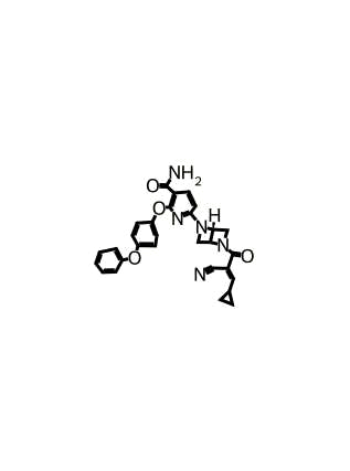 N#C/C(=C\C1CC1)C(=O)N1C[C@@H]2C1CN2c1ccc(C(N)=O)c(Oc2ccc(Oc3ccccc3)cc2)n1